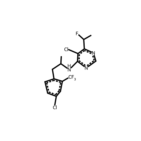 CC(Cc1ccc(Cl)cc1C(F)(F)F)Nc1ncnc(C(C)F)c1Cl